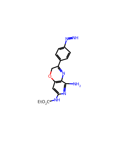 CCOC(=O)Nc1cc2c(c(N)n1)N=C(c1ccc(N=N)cc1)CO2